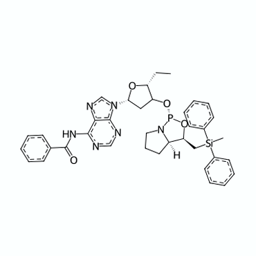 CC[C@H]1O[C@@H](n2cnc3c(NC(=O)c4ccccc4)ncnc32)CC1O[P@]1O[C@@H](C[Si](C)(c2ccccc2)c2ccccc2)[C@H]2CCCN21